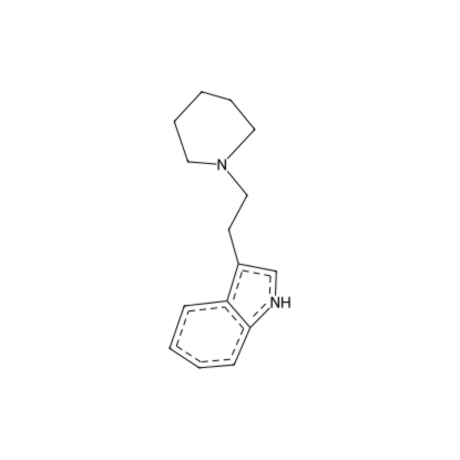 c1ccc2c(CCN3CCCCC3)c[nH]c2c1